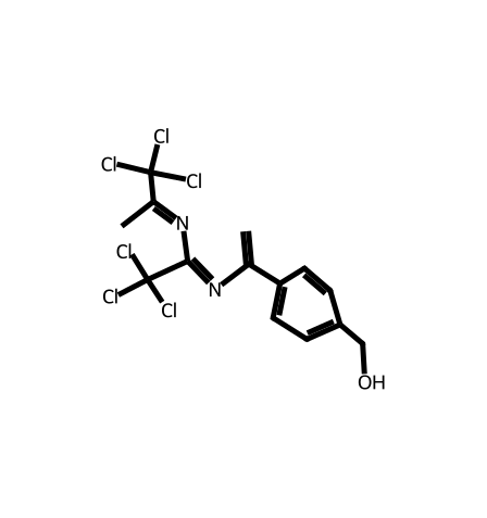 C=C(/N=C(\N=C(/C)C(Cl)(Cl)Cl)C(Cl)(Cl)Cl)c1ccc(CO)cc1